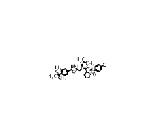 CC(C)CN(Cc1nnc(-c2ccc(C(C)(C)C)cc2)o1)C(=O)C1CCCN1S(=O)(=O)c1ccc(Cl)cc1